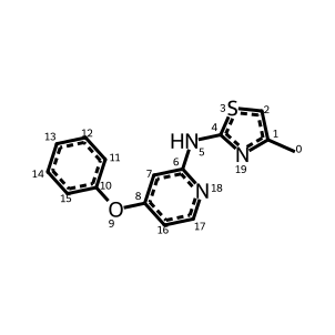 Cc1csc(Nc2cc(Oc3ccccc3)ccn2)n1